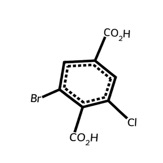 O=C(O)c1cc(Cl)c(C(=O)O)c(Br)c1